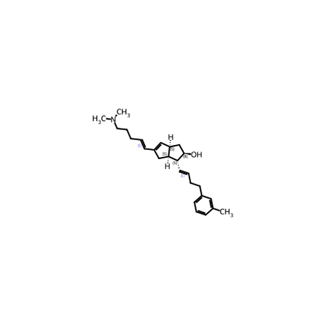 Cc1cccc(CC/C=C/[C@@H]2[C@H]3CC(/C=C/CCCN(C)C)=C[C@H]3C[C@H]2O)c1